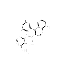 C[C@@H](Nc1ncnc(N)c1N)c1cnc2c(F)cccc2c1-c1cc(F)cc(F)c1